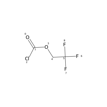 O=C(Cl)OCC(F)(F)F